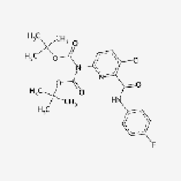 CC(C)(C)OC(=O)N(C(=O)OC(C)(C)C)c1ccc(Cl)c(C(=O)Nc2ccc(F)cc2)n1